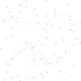 CC1(C)c2ccccc2C2(c3ccccc31)c1cccc3c1-c1c2ccc2c4ccccc4n(c12)-c1ccc(-c2cccc(N(c4ccc(-c5ccccc5)cc4)c4ccc(-c5ccccc5)cc4)c2)cc1-3